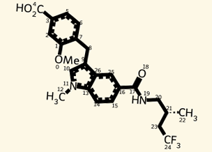 COc1cc(C(=O)O)ccc1Cc1cn(C)c2ccc(C(=O)NC[C@H](C)CC(F)(F)F)cc12